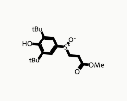 COC(=O)CC[S+]([O-])c1cc(C(C)(C)C)c(O)c(C(C)(C)C)c1